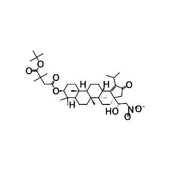 CC(C)C1=C2[C@H]3CC[C@@H]4[C@@]5(C)CC[C@H](OC(=O)CC(C)(C)C(=O)OC(C)(C)C)C(C)(C)[C@@H]5CC[C@@]4(C)[C@]3(C)CC[C@@]2([C@@H](O)C[N+](=O)[O-])CC1=O